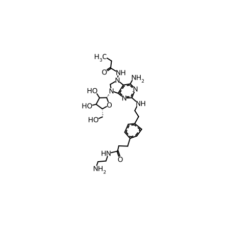 CCC(=O)NN1CN([C@@H]2O[C@H](CO)C(O)C2O)c2nc(NCCc3ccc(CCC(=O)NCCN)cc3)nc(N)c21